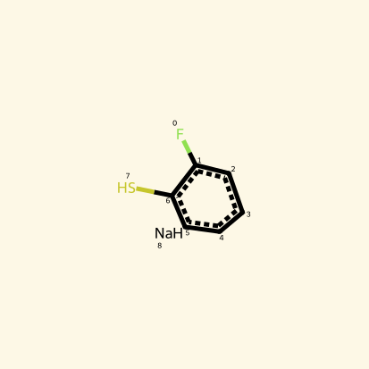 Fc1ccccc1S.[NaH]